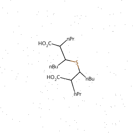 CCCCC(SC(CCCC)C(CCC)C(=O)O)C(CCC)C(=O)O